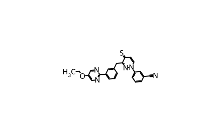 CCOc1cnc(-c2cccc(Cc3nn(-c4cccc(C#N)c4)ccc3=S)c2)nc1